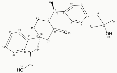 C[C@@H](c1ccc(CC(C)(C)O)cc1)N1CC[C@](CCCO)(c2ccccc2)CC1=O